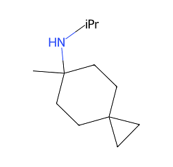 CC(C)NC1(C)CCC2(CC2)CC1